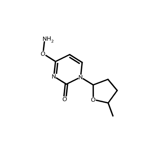 CC1CCC(n2ccc(ON)nc2=O)O1